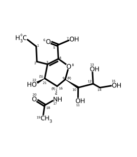 CCCC1=C(C(=O)O)O[C@@H](C(O)C(O)CO)[C@H](NC(C)=O)[C@H]1O